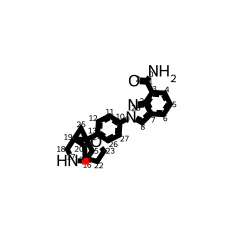 NC(=O)c1cccc2cn(-c3ccc(C45CCNCC4(C4CCCO4)C5)cc3)nc12